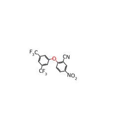 N#Cc1cc([N+](=O)[O-])ccc1Oc1cc(C(F)(F)F)cc(C(F)(F)F)c1